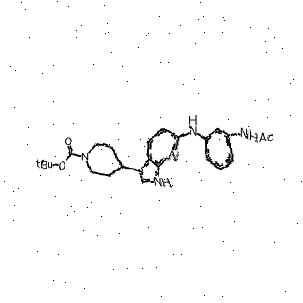 CC(=O)Nc1cccc(Nc2ccc3c(C4CCN(C(=O)OC(C)(C)C)CC4)c[nH]c3n2)c1